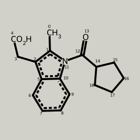 Cc1c(CC(=O)O)c2ccccc2n1C(=O)C1CCCC1